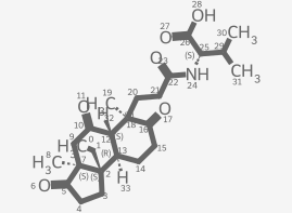 CC[C@@]12CCC(=O)[C@@]1(C)CC(=O)[C@H]1[C@H]2CCC(=O)[C@]1(C)CCC(=O)N[C@H](C(=O)O)C(C)C